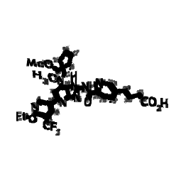 CCOc1ncc(-c2cc(N(C)CC3(COC)CCCC3)c3[nH]c(NC(=O)c4ccc(CCCC(=O)O)cn4)nc3n2)cc1C(F)(F)F